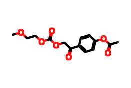 COCCOC(=O)OCC(=O)c1ccc(OC(C)=O)cc1